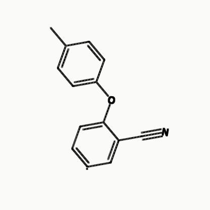 Cc1ccc(Oc2cc[c]cc2C#N)cc1